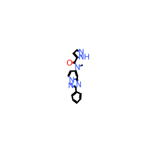 CN(C(=O)c1ccn[nH]1)c1ccn2nc(-c3ccccc3)nc2c1